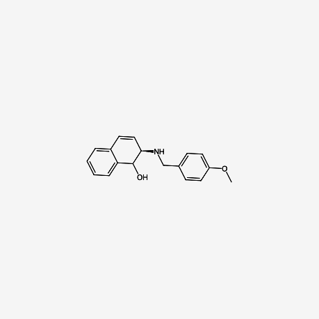 COc1ccc(CN[C@@H]2C=Cc3ccccc3C2O)cc1